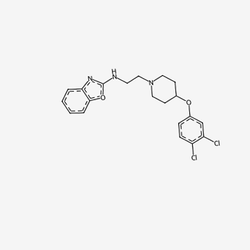 Clc1ccc(OC2CCN(CCNc3nc4ccccc4o3)CC2)cc1Cl